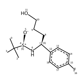 CC(C)(C)[S@@+]([O-])N[C@@H](CCCO)c1ccc(F)cc1